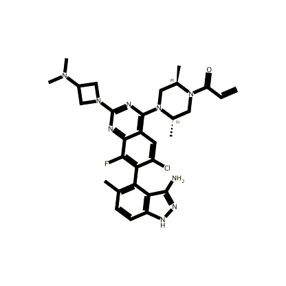 C=CC(=O)N1C[C@H](C)N(c2nc(N3CC(N(C)C)C3)nc3c(F)c(-c4c(C)ccc5[nH]nc(N)c45)c(Cl)cc23)C[C@H]1C